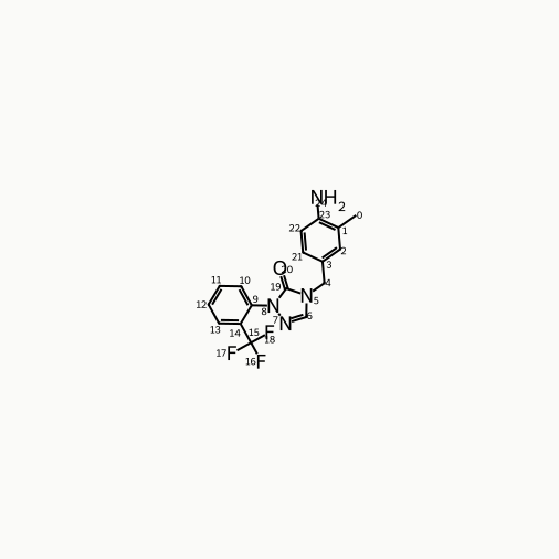 Cc1cc(Cn2cnn(-c3ccccc3C(F)(F)F)c2=O)ccc1N